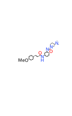 COc1ccc(C=CC(=O)Nc2ccc3oc(N4CCC(N(C)C)C4)nc3c2)cc1